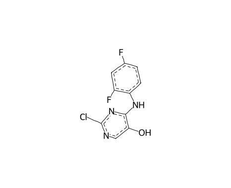 Oc1cnc(Cl)nc1Nc1ccc(F)cc1F